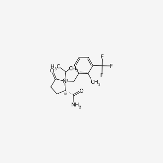 Cc1c(C[N+]2(C(C)C)C(=O)CC[C@H]2C(N)=O)cccc1C(F)(F)F